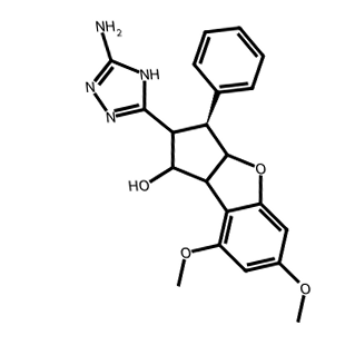 COc1cc(OC)c2c(c1)OC1C2C(O)C(c2nnc(N)[nH]2)[C@H]1c1ccccc1